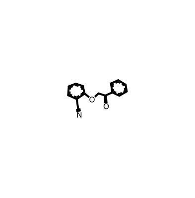 N#Cc1ccccc1OCC(=O)c1ccccc1